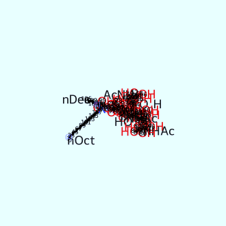 CCCCCCCC/C=C\CCCCCCCCCCCCCCCC(=O)N[C@@H](CO[C@@H]1OC(CO)[C@@H](O[C@@H]2OC(CO)[C@H](O[C@@H]3OC(CO[C@]4(C(=O)O)CC(O)[C@@H](NC(C)=O)C([C@H](O)[C@H](O)CO)O4)[C@H](O)[C@H](O[C@@H]4OC(CO)[C@H](O)[C@H](O[C@]5(C(=O)O)CC(O)[C@@H](NC(C)=O)C([C@H](O)[C@H](O)CO)O5)C4O)C3NC(C)=O)[C@H](O)C2O)[C@H](O)C1O)[C@H](O)/C=C/CCCCCCCCCCCCC